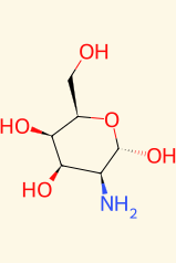 N[C@H]1[C@@H](O)[C@@H](O)[C@@H](CO)O[C@@H]1O